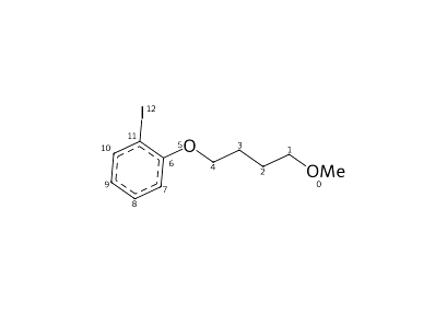 COCCCCOc1ccccc1I